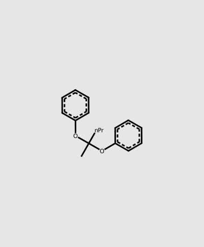 CCCC(C)(Oc1ccccc1)Oc1ccccc1